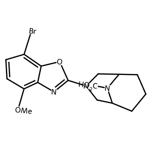 COc1ccc(Br)c2oc(N3CC4CCCC(C3)N4C(=O)O)nc12